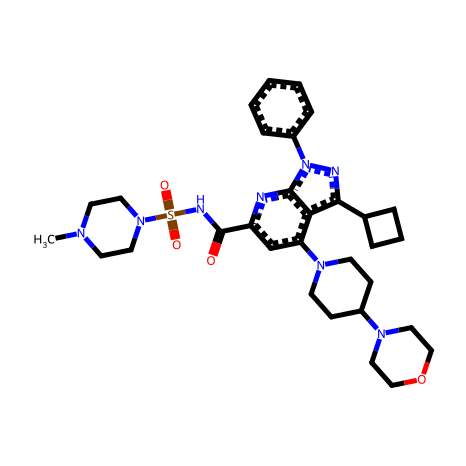 CN1CCN(S(=O)(=O)NC(=O)c2cc(N3CCC(N4CCOCC4)CC3)c3c(C4CCC4)nn(-c4ccccc4)c3n2)CC1